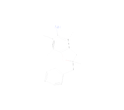 Cc1c(C)c2c(c(C)c1N)CC(C)(Cc1ccccc1)O2